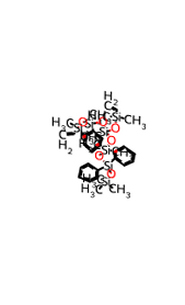 C=C[Si](C)(C)O[Si](C)(O[Si](C)(C)O[Si](O[Si](C)(C)C)(c1ccccc1)c1ccccc1)O[Si](C)(O[Si](C)(C)C=C)c1ccccc1